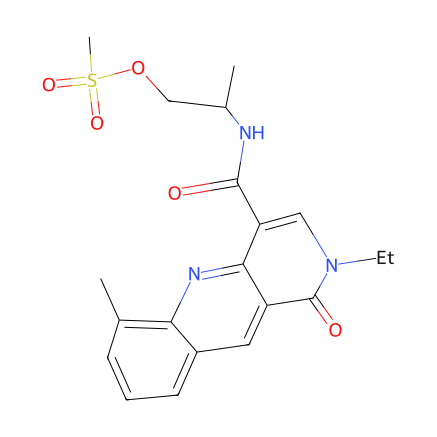 CCn1cc(C(=O)NC(C)COS(C)(=O)=O)c2nc3c(C)cccc3cc2c1=O